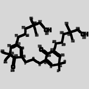 CC1(C)C=C(CCCC2=CC(CCCC(C)(C)CO)=CC(C)(C)C2=O)C(=O)C(CCCC(C)(C)CO)=C1